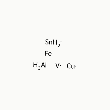 [AlH3].[Cu].[Fe].[SnH2].[V]